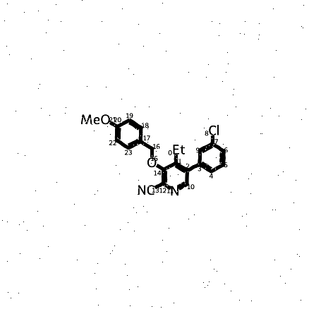 CCc1c(-c2cccc(Cl)c2)cnc(C#N)c1OCc1ccc(OC)cc1